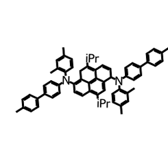 Cc1ccc(-c2ccc(N(c3ccc(C)cc3C)c3ccc4c(C(C)C)cc5c6c4c3CC(C(C)C)=C6C=CC5N(c3ccc(-c4ccc(C)cc4)cc3)c3ccc(C)cc3C)cc2)cc1